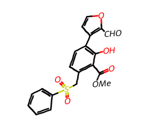 COC(=O)c1c(CS(=O)(=O)c2ccccc2)ccc(-c2ccoc2C=O)c1O